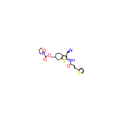 N#Cc1c(NC(=O)C=Cc2cccs2)sc2c1CCC(COC(=O)N1CCCO1)C2